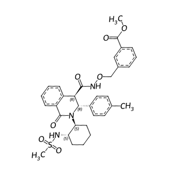 COC(=O)c1cccc(CONC(=O)[C@@H]2c3ccccc3C(=O)N([C@H]3CCCC[C@@H]3NS(C)(=O)=O)[C@H]2c2ccc(C)cc2)c1